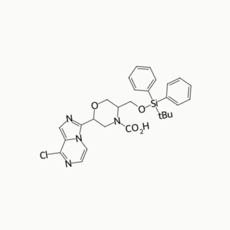 CC(C)(C)[Si](OCC1COC(c2ncc3c(Cl)nccn23)CN1C(=O)O)(c1ccccc1)c1ccccc1